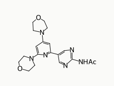 CC(=O)Nc1ncc(-c2cc(N3CCOCC3)cc(N3CCOCC3)n2)cn1